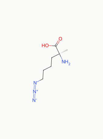 C[C@](N)(CCCCN=[N+]=[N-])C(=O)O